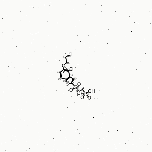 O=P(O)(O)CNS(=O)(=O)c1cc2c(Cl)c(OCCCl)ccc2s1